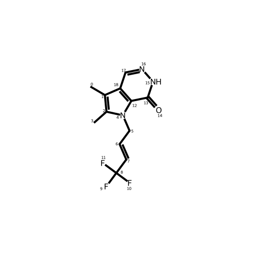 Cc1c(C)n(C/C=C/C(F)(F)F)c2c(=O)[nH]ncc12